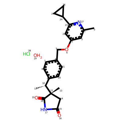 Cc1cc(OCc2ccc([C@@H](C)[C@]3(C)CC(=O)NC3=O)cc2)cc(C2CC2)n1.Cl.O